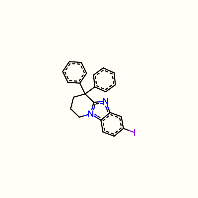 Ic1ccc2c(c1)nc1n2CCCC1(c1ccccc1)c1ccccc1